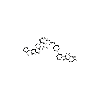 C[C@@H]1CN(CC2CCN(c3ccnc(C(=O)NC4CCC(=O)NC4=O)c3)CC2)C[C@H](C)N1C(=O)N1CCN2c3cc(-c4ccccc4O)nnc3NC[C@H]2C1